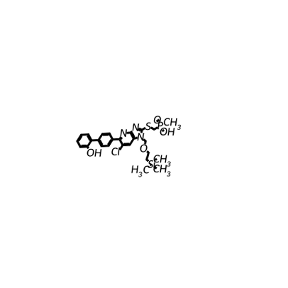 C[Si](C)(C)CCOCn1c(SCP(C)(=O)O)nc2nc(-c3ccc(-c4ccccc4O)cc3)c(Cl)cc21